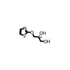 OC[C@@H](O)COc1nccs1